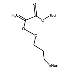 C=C(OOCCCCCCCCCCCC)C(=O)OC(C)(C)C